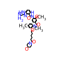 COc1cc(C(=O)N(C)c2ccc(C)cc2OCCCCCC(=O)N2CCC(=O)CC2)ccc1NC(=O)c1cccc2[nH]c(CN)nc12